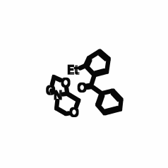 C1CN2OCOC2CO1.CCc1ccccc1C(=O)c1ccccc1